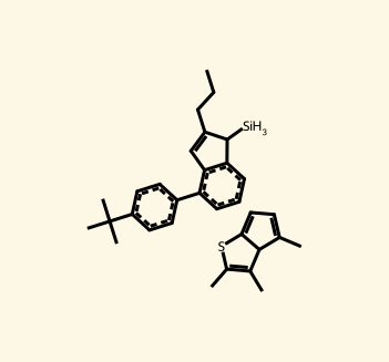 CC1=CC=C2SC(C)=C(C)C12.CCCC1=Cc2c(-c3ccc(C(C)(C)C)cc3)cccc2C1[SiH3]